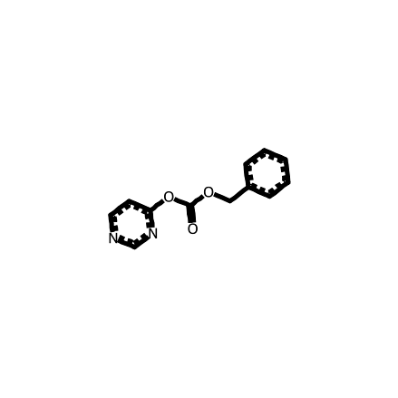 O=C(OCc1ccccc1)Oc1ccncn1